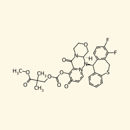 COC(=O)C(C)(C)COC(=O)Oc1c2n(ccc1=O)N([C@@H]1c3ccccc3SCc3c1ccc(F)c3F)[C@@H]1COCCN1C2=O